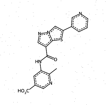 Cc1ncc(C(=O)O)cc1NC(=O)c1cnn2cc(-c3cccnc3)sc12